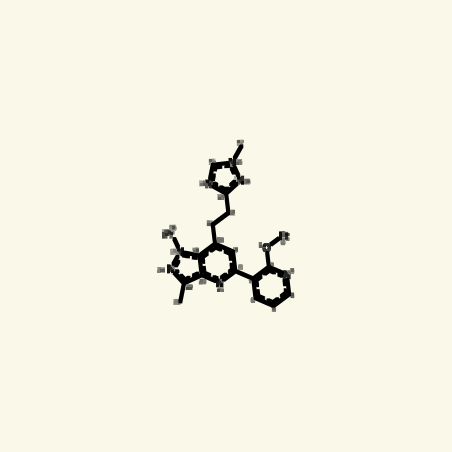 CCOc1ncccc1-c1cc(CCc2ncn(C)n2)c2c(n1)c(C)nn2C(C)C